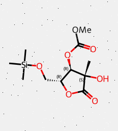 COC(=O)O[C@@H]1[C@@H](CO[Si](C)(C)C)OC(=O)[C@@]1(C)O